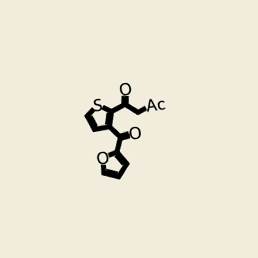 CC(=O)CC(=O)c1sccc1C(=O)c1ccco1